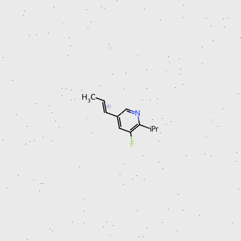 C/C=C/c1cnc(C(C)C)c(F)c1